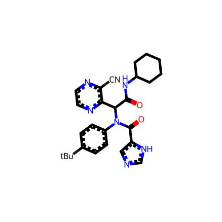 CC(C)(C)c1ccc(N(C(=O)c2cnc[nH]2)C(C(=O)NC2CCCCC2)c2nccnc2C#N)cc1